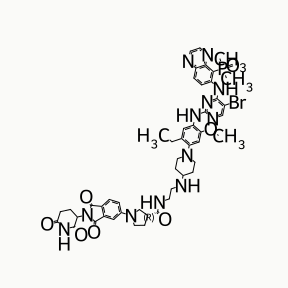 CCc1cc(Nc2ncc(Br)c(Nc3ccc4nccnc4c3P(C)(C)=O)n2)c(OC)cc1N1CCC(NCCNC(=O)[C@@H]2CCN(c3ccc4c(c3)C(=O)N(C3CCC(=O)NC3=O)C4=O)C2)CC1